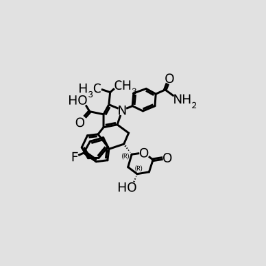 CC(C)c1c(C(=O)O)c(-c2ccccc2)c(CC(c2ccc(F)cc2)[C@H]2C[C@@H](O)CC(=O)O2)n1-c1ccc(C(N)=O)cc1